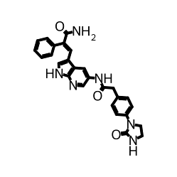 NC(=O)/C(=C/c1c[nH]c2ncc(NC(=O)Cc3ccc(N4CCNC4=O)cc3)cc12)c1ccccc1